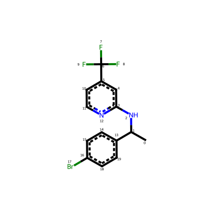 CC(Nc1cc(C(F)(F)F)ccn1)c1ccc(Br)cc1